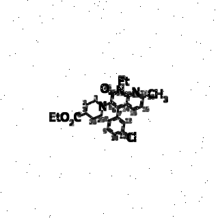 CCOC(=O)C1CCN(c2c(-c3cccc(Cl)c3)c3ccc(C)nc3n(CC)c2=O)CC1